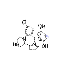 Clc1ccc2c(c1)N1CCNCC1c1cccn1C2.O=C(O)/C=C\C(=O)O